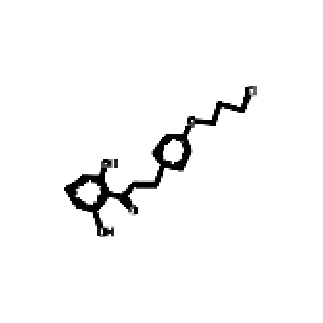 O=C(C=Cc1ccc(OCCCCl)cc1)c1c(O)cccc1O